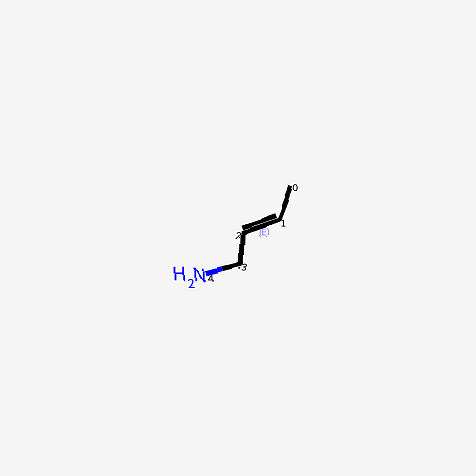 C/C=C/[CH]N